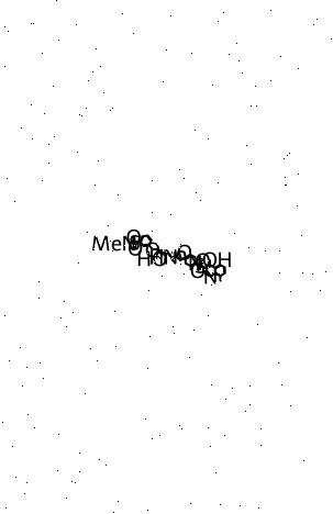 CNS(=O)(=O)c1cccc(OC[C@@H](O)CN[C@H]2COC3(CCN(S(=O)(=O)c4cnc5c(C)cccc5c4O)CC3)C2)c1